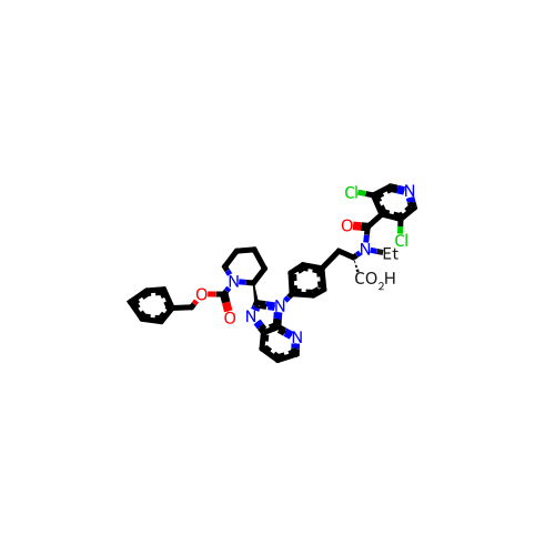 CCN(C(=O)c1c(Cl)cncc1Cl)[C@@H](Cc1ccc(-n2c([C@@H]3CCCCN3C(=O)OCc3ccccc3)nc3cccnc32)cc1)C(=O)O